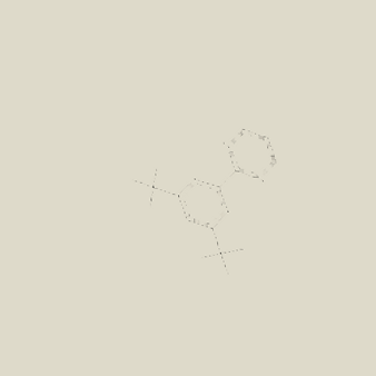 FC(F)(F)c1cc(-c2n[c]ccn2)cc(C(F)(F)F)c1